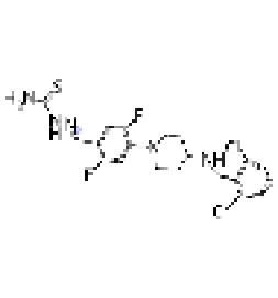 NC(=S)N/N=C/c1cc(F)c(N2CCC(NCc3c(Cl)cccc3Cl)CC2)cc1F